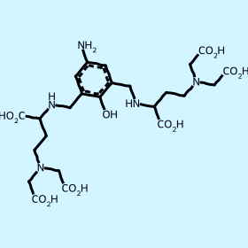 Nc1cc(CNC(CCN(CC(=O)O)CC(=O)O)C(=O)O)c(O)c(CNC(CCN(CC(=O)O)CC(=O)O)C(=O)O)c1